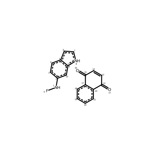 FNc1ccc2cc[nH]c2c1.O=C1C=CC(=O)c2ccccc21